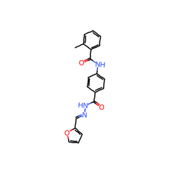 Cc1ccccc1C(=O)Nc1ccc(C(=O)N/N=C/c2ccco2)cc1